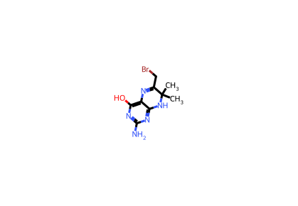 CC1(C)Nc2nc(N)nc(O)c2N=C1CBr